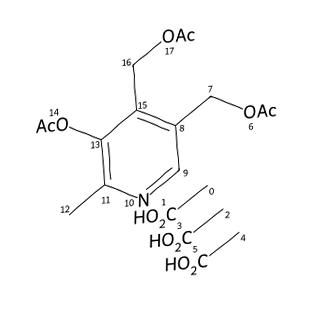 CC(=O)O.CC(=O)O.CC(=O)O.CC(=O)OCc1cnc(C)c(OC(C)=O)c1COC(C)=O